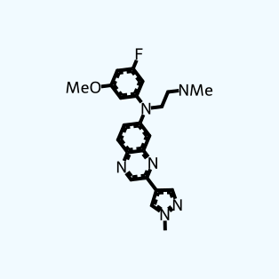 CNCCN(c1cc(F)cc(OC)c1)c1ccc2ncc(-c3cnn(C)c3)nc2c1